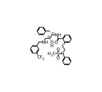 CS(=O)(=O)N(CSc1ccccc1C(=O)N[C@@H](Cc1ccccc1)[C@H](O)CNCc1cccc(C(F)(F)F)c1)c1ccccc1